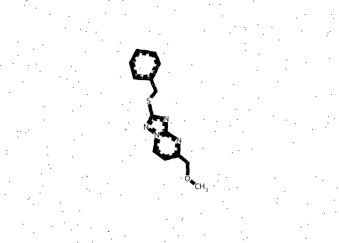 COCc1ccn2nc(SCc3ccccc3)nc2n1